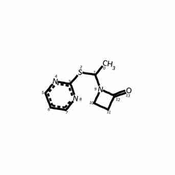 CC(Sc1ncccn1)N1CCC1=O